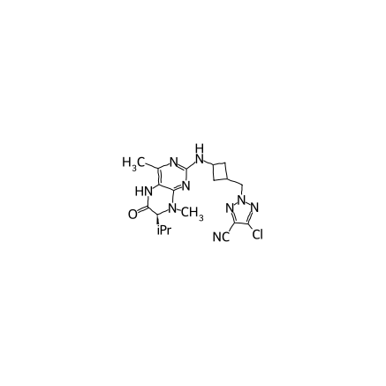 Cc1nc(NC2CC(Cn3nc(Cl)c(C#N)n3)C2)nc2c1NC(=O)[C@H](C(C)C)N2C